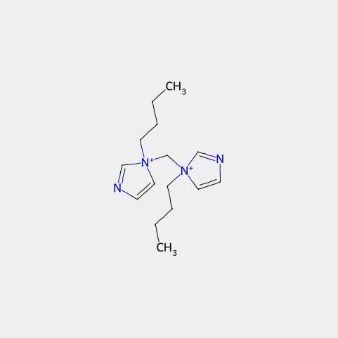 CCCC[N+]1(C[N+]2(CCCC)C=CN=C2)C=CN=C1